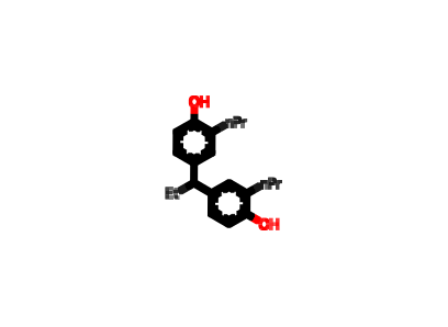 CCCc1cc(C(CC)c2ccc(O)c(CCC)c2)ccc1O